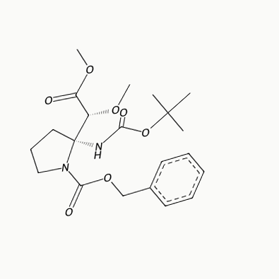 COC(=O)[C@H](OC)[C@]1(NC(=O)OC(C)(C)C)CCCN1C(=O)OCc1ccccc1